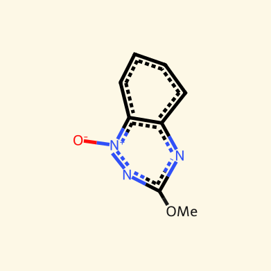 COc1nc2ccccc2[n+]([O-])n1